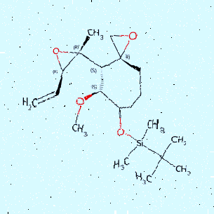 C=C[C@H]1O[C@]1(C)[C@H]1[C@H](OC)C(O[Si](C)(C)C(C)(C)C)CC[C@]12CO2